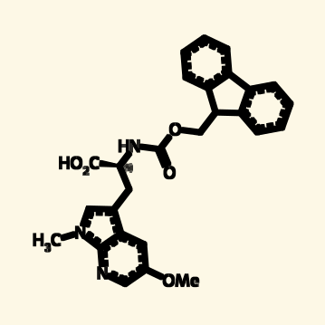 COc1cnc2c(c1)c(C[C@H](NC(=O)OCC1c3ccccc3-c3ccccc31)C(=O)O)cn2C